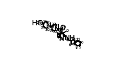 Cc1c(NCC2Cc3ccccc3C2)ncnc1C(=O)N1CCC(N2CCC(O)CC2)CC1